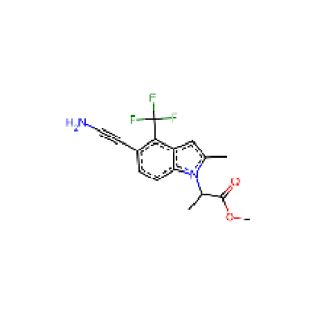 COC(=O)C(C)n1c(C)cc2c(C(F)(F)F)c(C#CN)ccc21